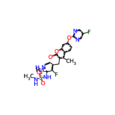 C=C(NS(=O)(=O)NC)/C(F)=C(\C=C/N)Cc1c(C)c2ccc(Oc3ncc(F)cn3)cc2oc1=O